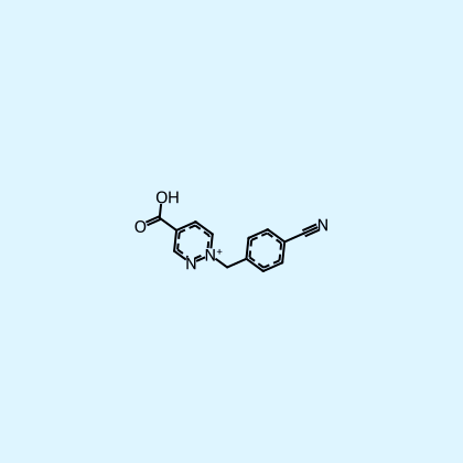 N#Cc1ccc(C[n+]2ccc(C(=O)O)cn2)cc1